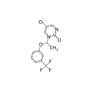 CC(Oc1cccc(C(F)(F)F)c1)n1cc(Cl)cnc1=O